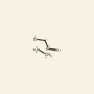 CCC[Si]=O.CN